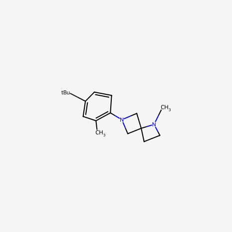 Cc1cc(C(C)(C)C)ccc1N1CC2(CCN2C)C1